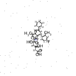 Cc1cc(F)ccc1-c1cc(-c2ccccc2)nc(C(C)C)c1/C=C/P(=O)(O)C[C@@H](O)CC(=O)O